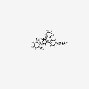 CC(=O)Nc1ccc2c(c1)c1ccccc1c1[nH]c(-c3c(F)cccc3Cl)nc21